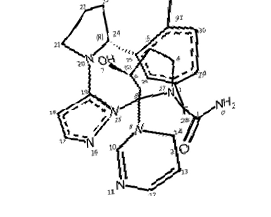 NC(=O)N1CC[C@H](O)C1(N1C=NC=CC1)n1nccc1N1CCC[C@@H]1c1cc(F)ccc1Cl